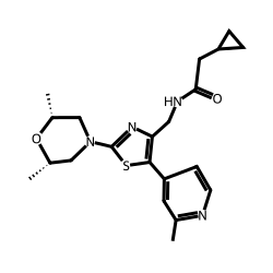 Cc1cc(-c2sc(N3C[C@@H](C)O[C@@H](C)C3)nc2CNC(=O)CC2CC2)ccn1